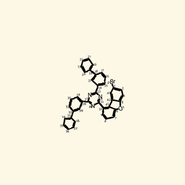 Brc1ccc2oc3cccc(-c4nc(-c5cccc(-c6ccccc6)c5)nc(-c5cccc(-c6ccccc6)c5)n4)c3c2c1